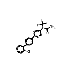 NC(=O)N(c1cnc(-c2ccc(-c3ccccc3Cl)cc2)nc1)C(F)(F)F